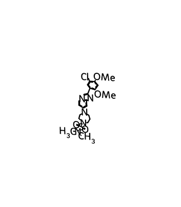 COc1cc(OC)c(-c2cn3ccc(N4CCCN(S(=O)(=O)N(C)C)CC4)cc3n2)cc1Cl